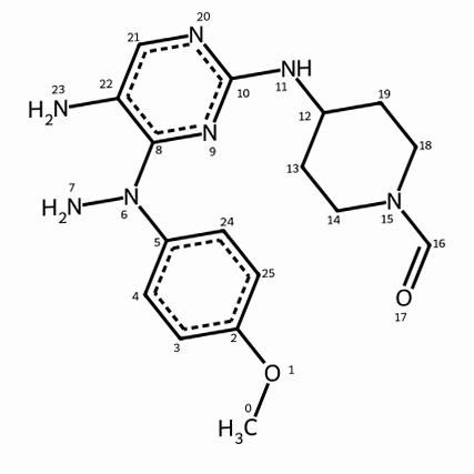 COc1ccc(N(N)c2nc(NC3CCN(C=O)CC3)ncc2N)cc1